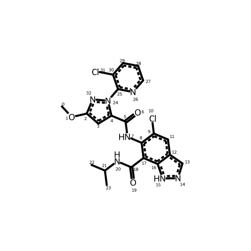 COc1cc(C(=O)Nc2c(Cl)cc3cn[nH]c3c2C(=O)NC(C)C)n(-c2ncccc2Cl)n1